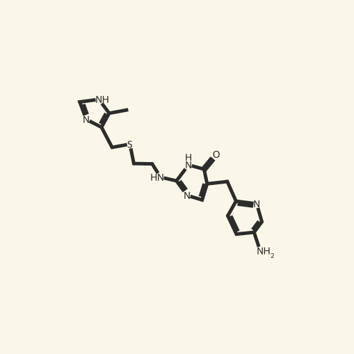 Cc1[nH]cnc1CSCCNc1ncc(Cc2ccc(N)cn2)c(=O)[nH]1